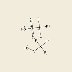 FC(F)(F)CS.O=S(=O)(O)C(F)(F)F